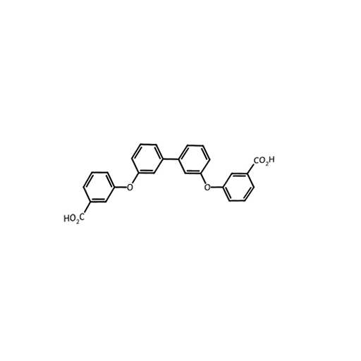 O=C(O)c1cccc(Oc2cccc(-c3cccc(Oc4cccc(C(=O)O)c4)c3)c2)c1